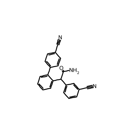 N#Cc1ccc(-c2ccccc2C(C(N)=O)c2cccc(C#N)c2)cc1